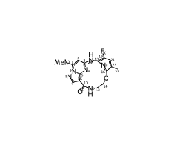 CNc1cc2nc3c(cnn13)C(=O)NCCOc1nc(c(F)cc1C)N2